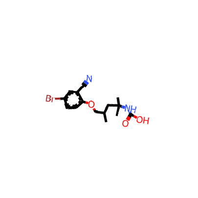 CC(COc1ccc(Br)cc1C#N)CC(C)(C)NC(=O)O